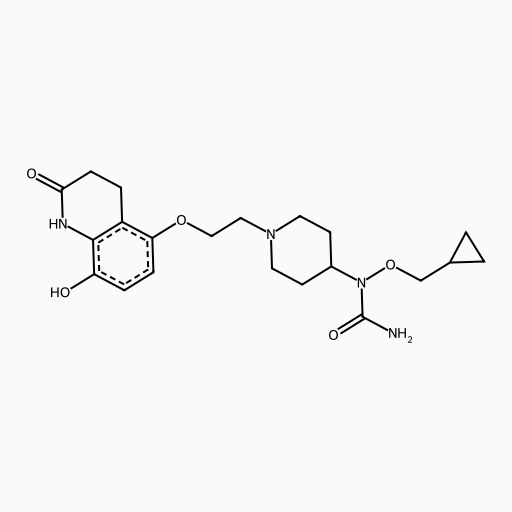 NC(=O)N(OCC1CC1)C1CCN(CCOc2ccc(O)c3c2CCC(=O)N3)CC1